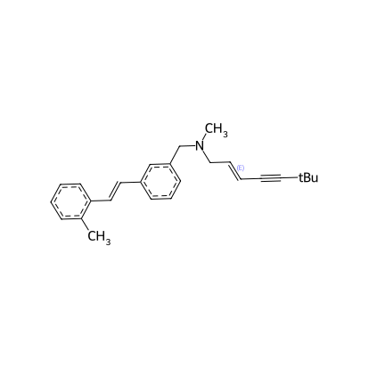 Cc1ccccc1C=Cc1cccc(CN(C)C/C=C/C#CC(C)(C)C)c1